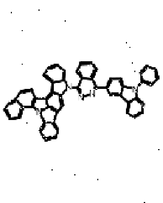 c1ccc(-n2c3ccccc3c3cc(-c4nnc(-n5c6ccccc6c6c7c8ccc9ccccc9c8n8c9ccccc9c(cc65)c78)c5ccccc45)ccc32)cc1